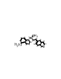 COc1cccc2c1CCC[C@H]2CN(C)CCc1ccc2cnccc2c1